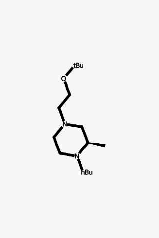 CCCCN1CCN(CCOC(C)(C)C)C[C@H]1C